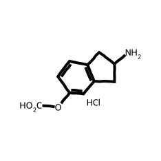 Cl.NC1Cc2ccc(OC(=O)O)cc2C1